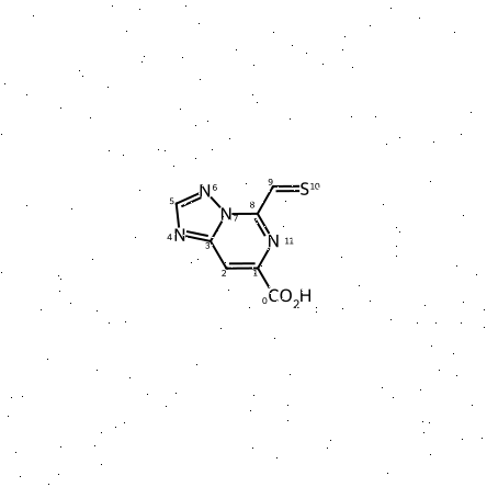 O=C(O)c1cc2ncnn2c(C=S)n1